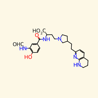 O=CNc1cc(C(=O)NC(CCN2CCC(CCc3ccc4c(n3)NCCC4)C2)C(=O)O)ccc1O